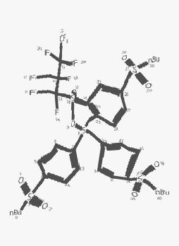 CCCCS(=O)(=O)c1ccc(S(OS(=O)(=O)C(F)(F)C(F)(F)C(F)(F)C(F)(F)F)(c2ccc(S(=O)(=O)CCCC)cc2)c2ccc(S(=O)(=O)CCCC)cc2)cc1